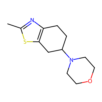 Cc1nc2c(s1)CC(N1CCOCC1)CC2